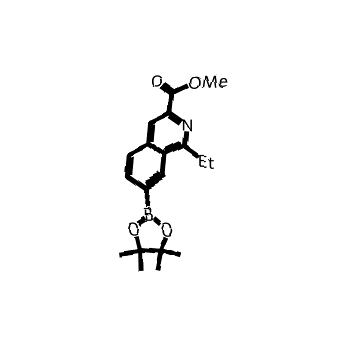 CCc1nc(C(=O)OC)cc2ccc(B3OC(C)(C)C(C)(C)O3)cc12